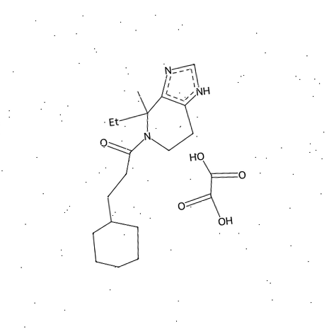 CCC1(C)c2nc[nH]c2CCN1C(=O)CCC1CCCCC1.O=C(O)C(=O)O